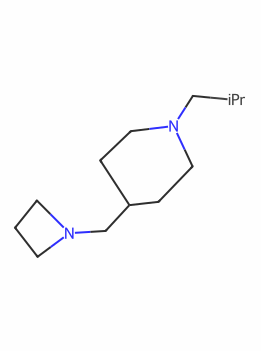 CC(C)CN1CCC(CN2CCC2)CC1